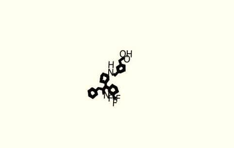 O=C(O)Cc1cccc(CNc2cccc(-c3c(Cc4ccccc4)cnc4c(C(F)(F)F)cccc34)c2)c1